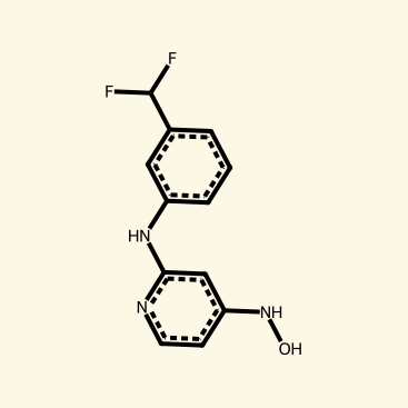 ONc1ccnc(Nc2cccc(C(F)F)c2)c1